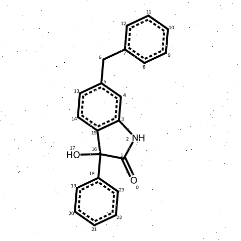 O=C1Nc2cc(Cc3ccccc3)ccc2C1(O)c1ccccc1